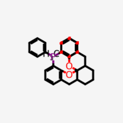 Cc1cccc2c1OC13Oc4c(cccc4P(c4ccccc4)c4ccccc4)CC1CCCC3C2